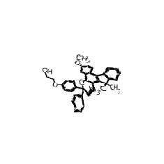 COc1ccc2c3c(c4c(c2c1)OC(c1ccccc1)(c1ccc(OCCO)cc1)C=C4)C(C)(C)c1ccccc1-3